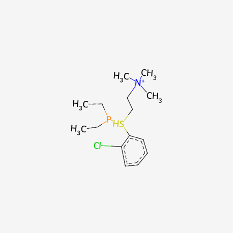 CCP(CC)[SH](CC[N+](C)(C)C)c1ccccc1Cl